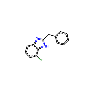 Fc1cccc2nc(Cc3ccccc3)[nH]c12